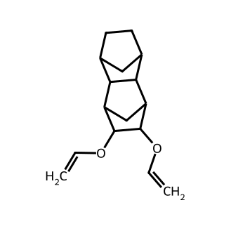 C=COC1C2CC(C1OC=C)C1C3CCC(C3)C21